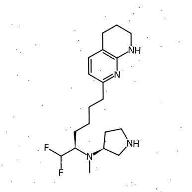 CN([C@H]1CCNC1)[C@H](CCCCc1ccc2c(n1)NCCC2)C(F)F